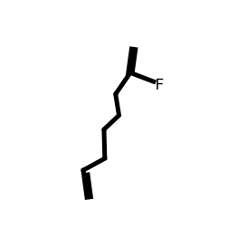 C=CCCCCC(=C)F